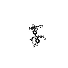 Nc1c(-c2ccc(NS(=O)(=O)CCCCl)cc2)n(CC2CC2)c2cc(OC(F)F)ccc12